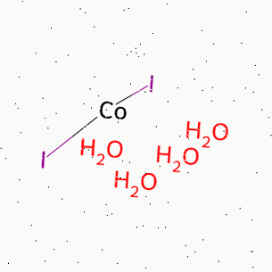 O.O.O.O.[I][Co][I]